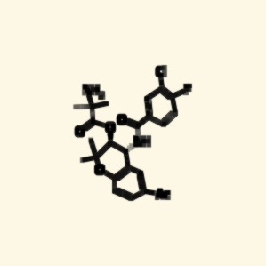 CC(=O)c1ccc2c(c1)[C@@H](NC(=O)c1ccc(F)c(Cl)c1)[C@H](OC(=O)C(C)(C)N)C(C)(C)O2